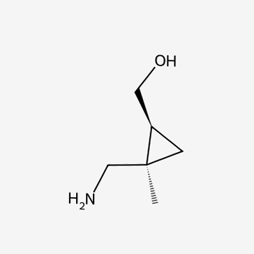 C[C@@]1(CN)C[C@@H]1CO